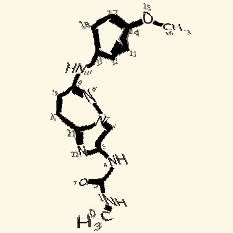 CNC(=O)Nc1cn2nc(Nc3ccc(OC)cc3)ccc2n1